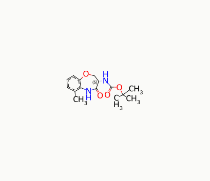 Cc1cccc2c1NC(=O)[C@@H](NC(=O)OC(C)(C)C)CO2